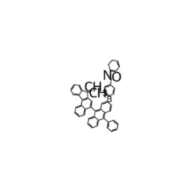 CC1(C)c2ccccc2-c2c1cc(-c1c3ccccc3c(-c3ccccc3)c3ccc(-c4ccc(-c5nc6c(o5)C=CCC6)cc4)cc13)c1ccccc21